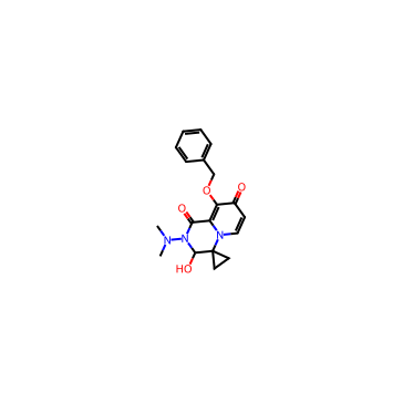 CN(C)N1C(=O)c2c(OCc3ccccc3)c(=O)ccn2C2(CC2)C1O